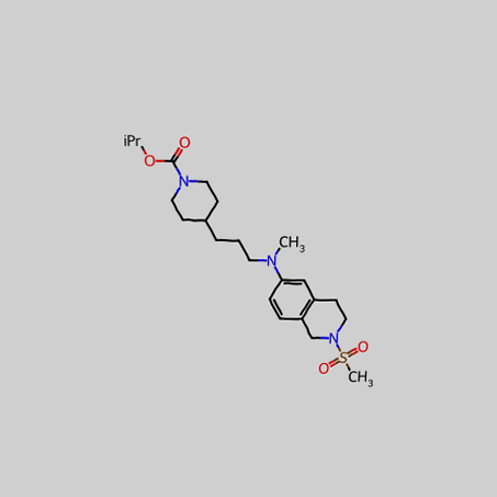 CC(C)OC(=O)N1CCC(CCCN(C)c2ccc3c(c2)CCN(S(C)(=O)=O)C3)CC1